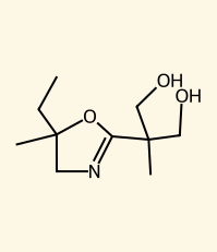 CCC1(C)CN=C(C(C)(CO)CO)O1